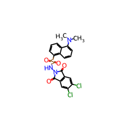 CN(C)c1cccc2c(S(=O)(=O)NN3C(=O)c4cc(Cl)c(Cl)cc4C3=O)cccc12